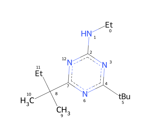 CCNc1nc(C(C)(C)C)nc(C(C)(C)CC)n1